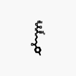 Cc1ccc(C(=O)CCCS/C(N)=N/C(=O)OC(C)(C)C)cc1